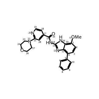 COc1ccc(-c2ccccc2)c2nc(NC(=O)c3ccnc(N4CCOCC4)c3)[nH]c12